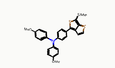 COc1ccc(N(c2ccc(OC)cc2)c2ccc(-c3sc(SC)c4sccc34)cc2)cc1